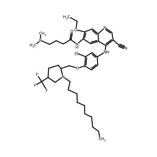 CCCCCCCCCCN1CC(C(F)(F)F)CCC1COc1ccc(Nc2c(C#N)cnc3cc(OCC)c(NC(=O)CCCN(C)C)cc23)cc1Cl